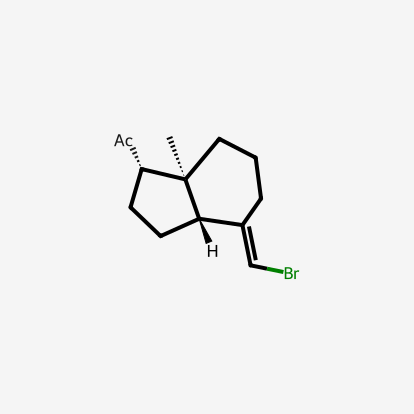 CC(=O)[C@H]1CC[C@H]2/C(=C/Br)CCC[C@]12C